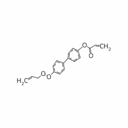 C=CCOOc1ccc(-c2ccc(OC(=O)C=C)cc2)cc1